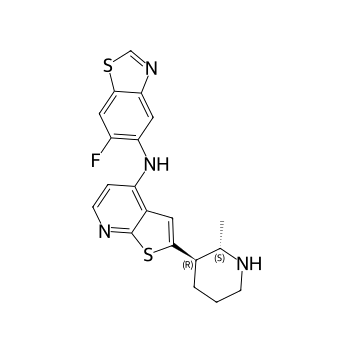 C[C@@H]1NCCC[C@H]1c1cc2c(Nc3cc4ncsc4cc3F)ccnc2s1